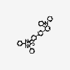 c1ccc(-c2nc(-c3ccccc3)c3sc4cc(-c5ccc(-c6cccc7c6c6ccccc6n7-c6ccccc6)cc5)ccc4c3n2)cc1